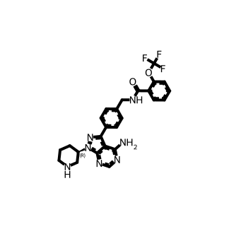 Nc1ncnc2c1c(-c1ccc(CNC(=O)c3ccccc3OC(F)(F)F)cc1)nn2[C@@H]1CCCNC1